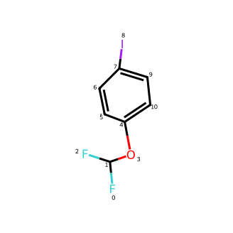 FC(F)Oc1[c]cc(I)cc1